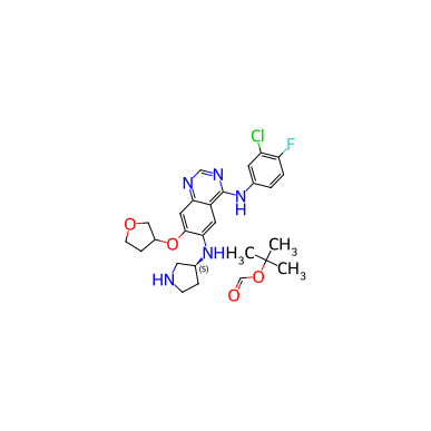 CC(C)(C)OC=O.Fc1ccc(Nc2ncnc3cc(OC4CCOC4)c(N[C@H]4CCNC4)cc23)cc1Cl